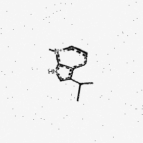 CC(C)c1c[nH]c2c1ccc[n+]2C